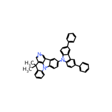 CC1(C)c2ccccc2-n2c3ccc(-n4c5ccc(-c6ccccc6)cc5c5cc(-c6ccccc6)ccc54)cc3c3cncc1c32